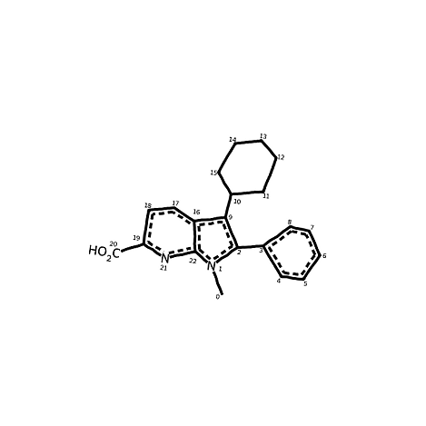 Cn1c(-c2ccccc2)c(C2CCCCC2)c2ccc(C(=O)O)nc21